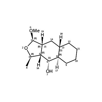 CO[C@@H]1O[C@H](C)[C@H]2[C@@H](O)[C@@H]3CCCC[C@H]3C[C@@H]12